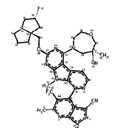 Cc1nc2[nH]nc(C#N)c2c(-c2nccc3c4c(N5CCOC[C@@](C)(O)C5)nc(OC[C@@]56CCCN5C[C@H](F)C6)nc4n(C)c23)c1C(F)(F)F